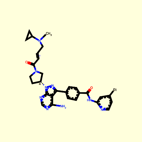 CCc1ccnc(NC(=O)c2ccc(-c3nn([C@@H]4CCN(C(=O)/C=C/CN(C)C5CC5)C4)c4ncnc(N)c34)cc2)c1